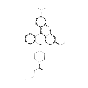 CC/N=c1/ccc2c(-c3ccccc3C(=O)N3CCN(C(=O)CCC(=O)O)CC3)c3ccc(N(CC)CC)cc3oc-2c1